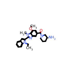 CCn1c(-c2nc3cc(C(=O)N4CCC[C@@H](N)C4)cc(OC)c3n2C)cc2ccccc21